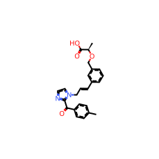 Cc1ccc(C(=O)c2nccn2C/C=C/c2cccc(CO[C@H](C)C(=O)O)c2)cc1